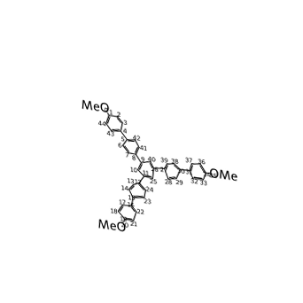 COc1ccc(-c2ccc(-c3cc(-c4ccc(-c5ccc(OC)cc5)cc4)cc(-c4ccc(-c5ccc(OC)cc5)cc4)c3)cc2)cc1